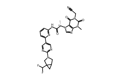 C[C@@H](C(=O)Nc1cccc(-c2cnc(N3CC4CC4(C(F)F)C3)nc2)n1)n1cnc2c1c(=O)n(CC#N)c(=O)n2C